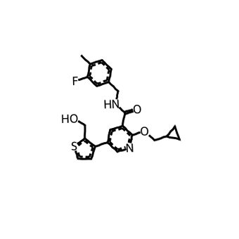 Cc1ccc(CNC(=O)c2cc(-c3ccsc3CO)cnc2OCC2CC2)cc1F